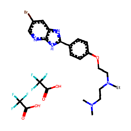 CCN(CCOc1ccc(-c2nc3cc(Br)cnc3[nH]2)cc1)CCN(C)C.O=C(O)C(F)(F)F.O=C(O)C(F)(F)F